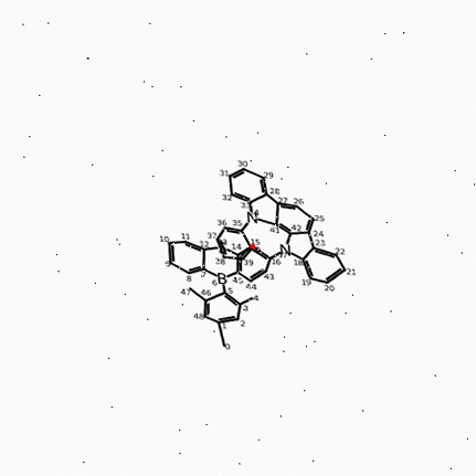 Cc1cc(C)c(B2c3ccccc3Sc3cc(-n4c5ccccc5c5ccc6c7ccccc7n(-c7ccccc7)c6c54)ccc32)c(C)c1